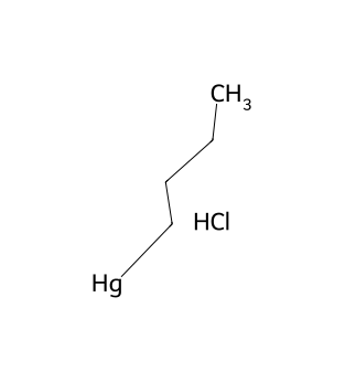 CCC[CH2][Hg].Cl